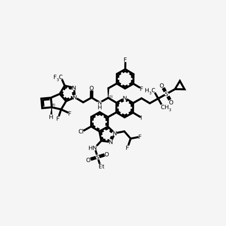 CCS(=O)(=O)Nc1nn(CC(F)F)c2c(-c3cc(I)c(CCC(C)(C)S(=O)(=O)C4CC4)nc3[C@H](Cc3cc(F)cc(F)c3)NC(=O)Cn3nc(C(F)(F)F)c4c3C(F)(F)[C@@H]3C=C=C43)ccc(Cl)c12